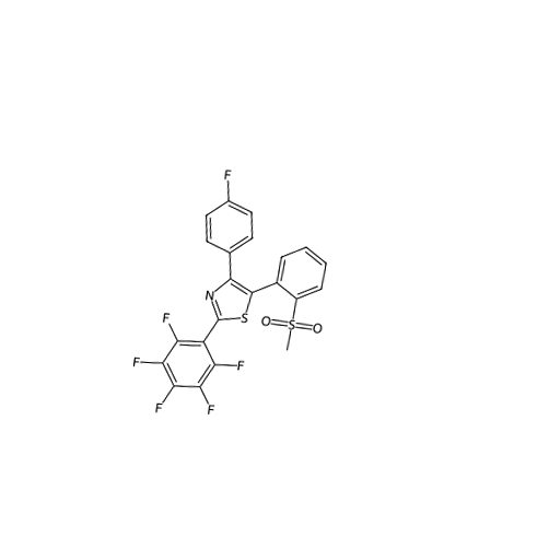 CS(=O)(=O)c1ccccc1-c1sc(-c2c(F)c(F)c(F)c(F)c2F)nc1-c1ccc(F)cc1